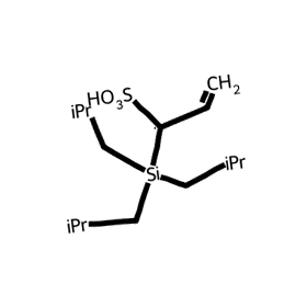 C=C[C]([Si](CC(C)C)(CC(C)C)CC(C)C)S(=O)(=O)O